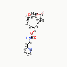 C=C1C(=O)O[C@H]2[C@H]1CC/C(COC(=O)NCCc1ccccn1)=C\CC[C@@]1(C)O[C@@H]21